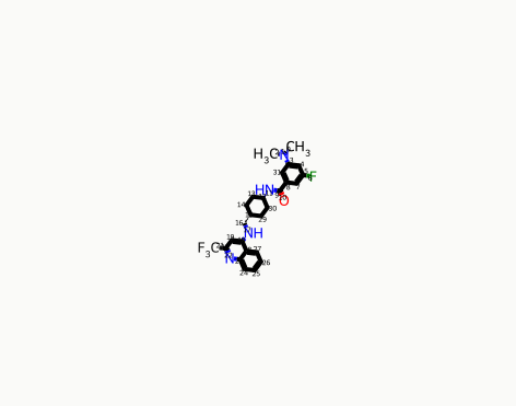 CN(C)c1cc(F)cc(C(=O)N[C@H]2CC[C@@H](CNc3cc(C(F)(F)F)nc4ccccc34)CC2)c1